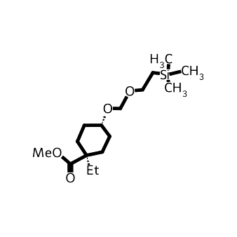 CC[C@]1(C(=O)OC)CC[C@H](OCOCC[Si](C)(C)C)CC1